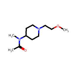 COCCN1CCC(N(C)C(C)=O)CC1